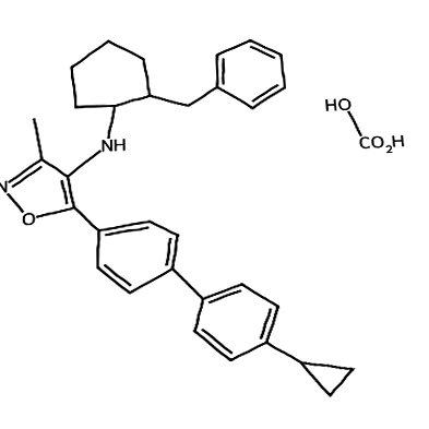 Cc1noc(-c2ccc(-c3ccc(C4CC4)cc3)cc2)c1NC1CCCCC1Cc1ccccc1.O=C(O)O